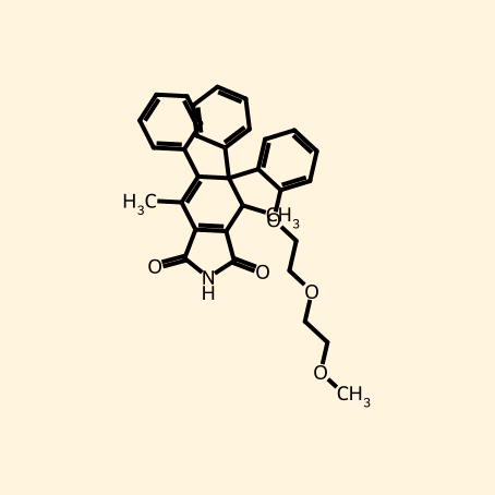 COCCOCCOc1ccccc1C1(c2ccccc2)C(c2ccccc2)=C(C)C2=C(C(=O)NC2=O)C1C